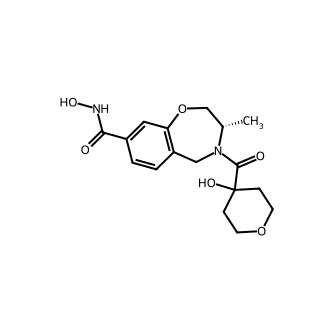 C[C@H]1COc2cc(C(=O)NO)ccc2CN1C(=O)C1(O)CCOCC1